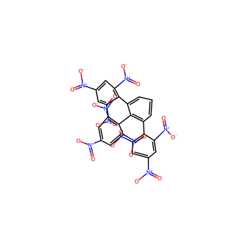 O=[N+]([O-])c1cc([N+](=O)[O-])c(-c2cccc(-c3c([N+](=O)[O-])cc([N+](=O)[O-])cc3[N+](=O)[O-])c2-c2c([N+](=O)[O-])cc([N+](=O)[O-])cc2[N+](=O)[O-])c([N+](=O)[O-])c1